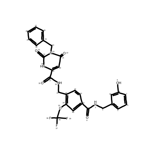 O=C(NCc1cccc(O)c1)c1ccc(CNC(=O)c2cc(=O)n(Cc3ccccc3)c(=O)[nH]2)c(OC(F)(F)F)c1